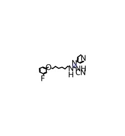 N#CN/C(=N\c1ccncc1)NCCCCCCOc1cccc(F)c1